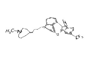 CN1CCC(CCCCn2cc(Cl)c3c(-c4nc5cc(C(F)(F)F)ccc5[nH]4)cccc32)CC1